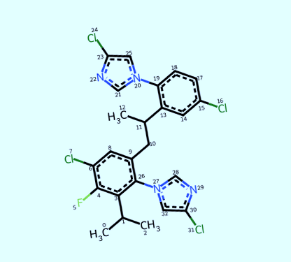 CC(C)c1c(F)c(Cl)cc(CC(C)c2cc(Cl)ccc2-n2cnc(Cl)c2)c1-n1cnc(Cl)c1